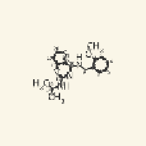 COc1ccccc1CNc1nc(NC(C)C)nc2ccsc12